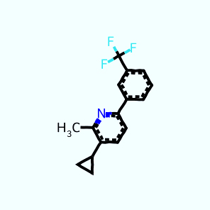 Cc1nc(-c2cccc(C(F)(F)F)c2)ccc1C1CC1